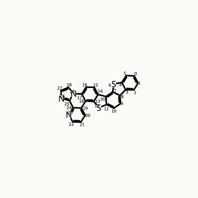 c1ccc2c(c1)sc1c2ccc2sc3c(ccc4c3c3cccnc3c3nccn43)c21